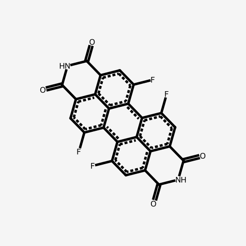 O=C1NC(=O)c2cc(F)c3c4c(F)cc5c6c(cc(F)c(c7c(F)cc1c2c73)c64)C(=O)NC5=O